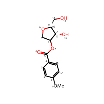 COc1ccc(C(=O)OC2CO[C@H](CO)[C@@H]2O)cc1